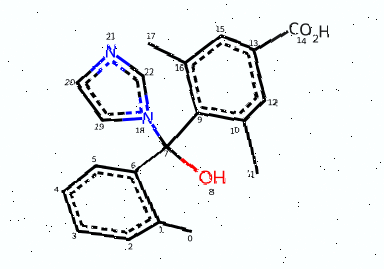 Cc1ccccc1C(O)(c1c(C)cc(C(=O)O)cc1C)n1ccnc1